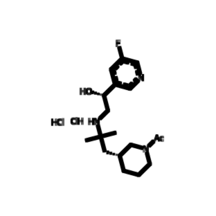 CC(=O)N1CCC[C@H](CC(C)(C)NC[C@H](O)c2cncc(F)c2)C1.Cl.Cl